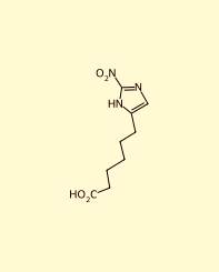 O=C(O)CCCCCc1cnc([N+](=O)[O-])[nH]1